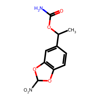 CC(OC(N)=O)c1ccc2c(c1)OC([N+](=O)[O-])O2